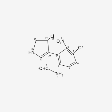 N[C]=O.O=[N+]([O-])c1c(Cl)cccc1-c1c[nH]cc1Cl